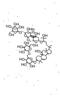 C[C@H]1[C@H](O)C[C@H](O[C@H](CC[C@@H](C)C2CC[C@@]3(C)C4CC=C5C(CC[C@H](O[C@@H]6O[C@H](CO[C@H]7O[C@H](CO)[C@@H](O)[C@H](O)[C@H]7O)[C@@H](O)[C@H](O)[C@H]6O)C5(C)C)[C@]4(C)[C@H](O)C[C@]23C)C(C)(C)O)O[C@@H]1CO[C@@H]1O[C@H](CO[C@H]2O[C@H](CO)[C@@H](O)[C@H](O)[C@H]2O)[C@@H](O)[C@H](O)[C@H]1O